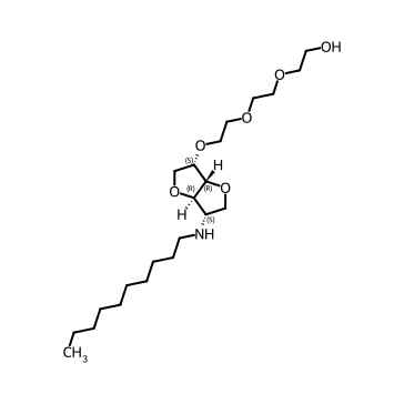 CCCCCCCCCCN[C@H]1CO[C@@H]2[C@@H]1OC[C@@H]2OCCOCCOCCO